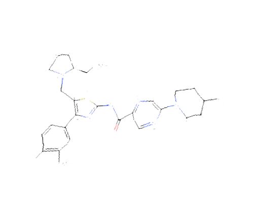 COC[C@@H]1CCCN1Cc1sc(NC(=O)c2cnc(N3CCC(C(=O)O)CC3)cn2)nc1-c1ccc(C(F)(F)F)c(OC)c1